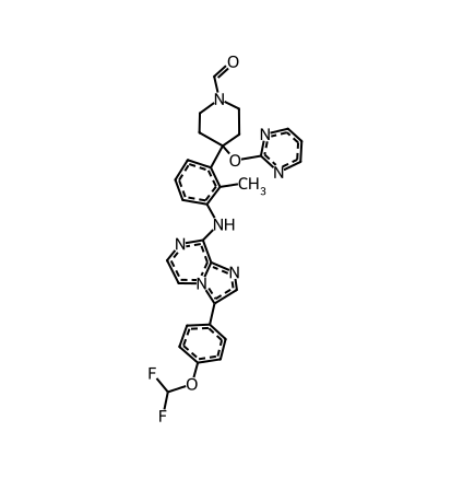 Cc1c(Nc2nccn3c(-c4ccc(OC(F)F)cc4)cnc23)cccc1C1(Oc2ncccn2)CCN(C=O)CC1